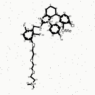 COc1cc(C2CCCc3nc(SCc4c(F)ccc(OCCOCCOCCN(C)C)c4F)n(-c4ccc(F)cc4)c32)ccc1Cl